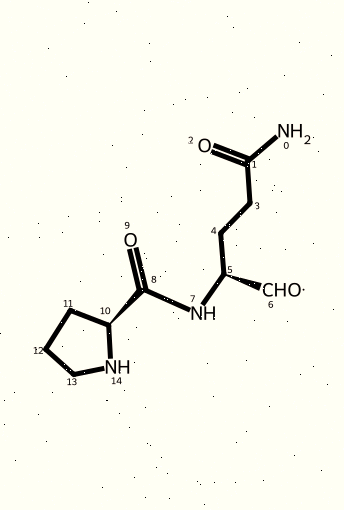 NC(=O)CC[C@@H]([C]=O)NC(=O)[C@@H]1CCCN1